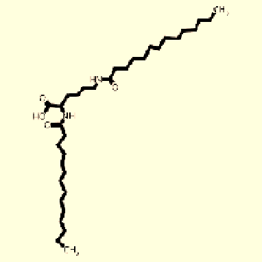 CCCCCCCCCCCCCC(=O)NCCCCC(NC(=O)CCCCCCCCCCCCC)C(=O)O